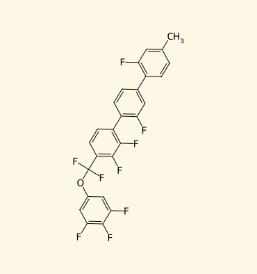 Cc1ccc(-c2ccc(-c3ccc(C(F)(F)Oc4cc(F)c(F)c(F)c4)c(F)c3F)c(F)c2)c(F)c1